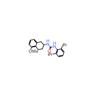 COc1cccc2c1CCC(NC(=O)Nc1c(C(C)C)cccc1C(C)C)C2